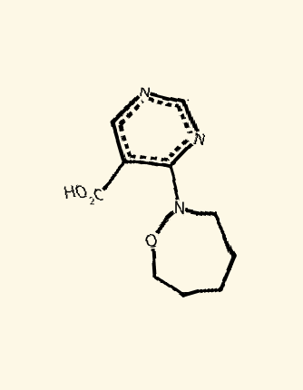 O=C(O)c1cn[c]nc1N1CCCCCO1